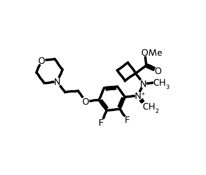 C=[N+](c1ccc(OCCN2CCOCC2)c(F)c1F)N(C)C1(C(=O)OC)CCC1